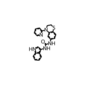 O=C(Nc1ccc2c(c1)N(c1ccccn1)CCS2)Nc1c[nH]c2ccccc12